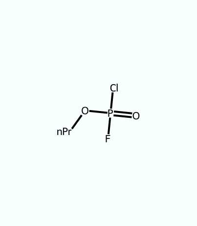 CCCOP(=O)(F)Cl